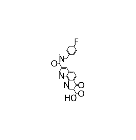 CN(Cc1ccc(F)cc1)C(=O)c1cnc2c3c(ccc2c1)C(=O)C(C(=O)O)C=N3